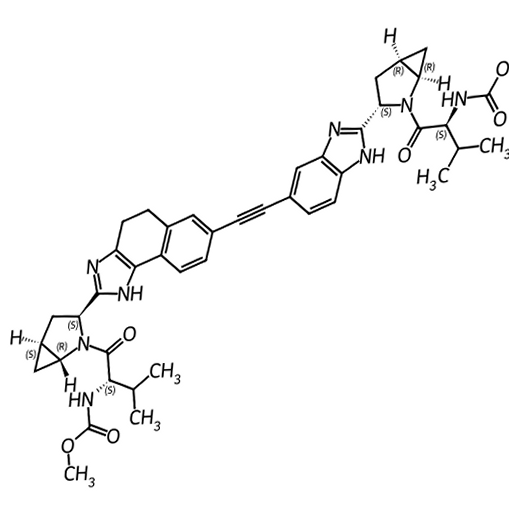 COC(=O)N[C@H](C(=O)N1[C@@H]2C[C@H]2C[C@H]1c1nc2c([nH]1)-c1ccc(C#Cc3ccc4[nH]c([C@@H]5C[C@H]6C[C@H]6N5C(=O)[C@@H](NC(=O)O)C(C)C)nc4c3)cc1CC2)C(C)C